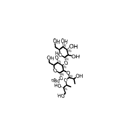 CCCCO[C@@H]1OC(CO)[C@H](O)[C@H](O[C@@H]2OC(CO)[C@H](O)[C@H](O)C2O)C1O[C@H](OC(C)[C@@H](O)CO)C(C)O